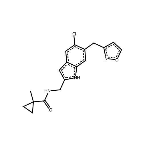 CC1(C(=O)NCc2cc3cc(Cl)c(Cc4ccon4)cc3[nH]2)CC1